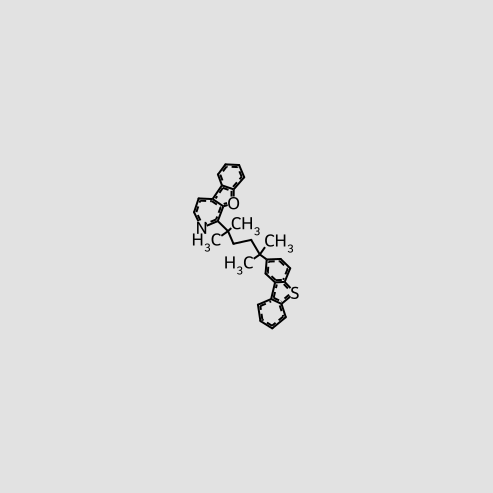 CC(C)(CCC(C)(C)c1nccc2c1oc1ccccc12)c1ccc2sc3ccccc3c2c1